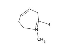 C[N+]1=C(I)CC=CCC1